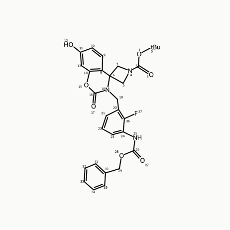 CC(C)(C)OC(=O)N1CC2(C1)c1ccc(O)cc1OC(=O)N2Cc1cccc(NC(=O)OCc2ccccc2)c1F